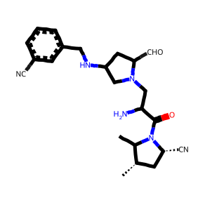 CC1[C@@H](C)C[C@@H](C#N)N1C(=O)C(N)CN1CC(NCc2cccc(C#N)c2)CC1C=O